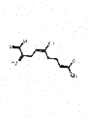 C=C(CC=C(C)CCC=C(C)C)C(=O)O